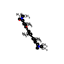 Cc1cc(C)cc(-n2c3ccccc3c3cc(-c4ccc5c(c4)C(C)(C)c4cc(/C=C/c6ccc7c(c6)C(C)(C)c6cc(/C=C/c8ccc9c(c8)C(C)(C)c8cc(-c%10ccc%11c(c%10)c%10ccccc%10n%11-c%10cc(C)cc(C)c%10)ccc8-9)ccc6-7)ccc4-5)ccc32)c1